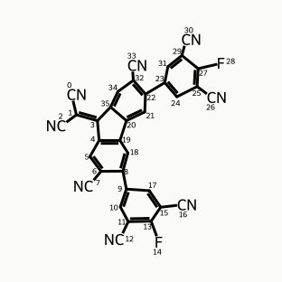 N#CC(C#N)=C1c2cc(C#N)c(-c3cc(C#N)c(F)c(C#N)c3)cc2-c2cc(-c3cc(C#N)c(F)c(C#N)c3)c(C#N)cc21